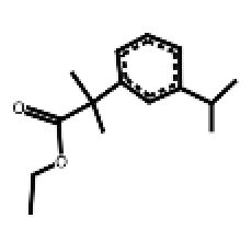 CCOC(=O)C(C)(C)c1cccc(C(C)C)c1